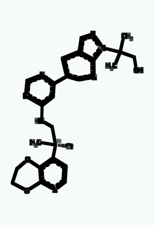 CC[C@](C)(CNc1cc(-c2cnc3c(cnn3C(C)(C)CO)c2)ncn1)c1ccnc2c1OCCO2